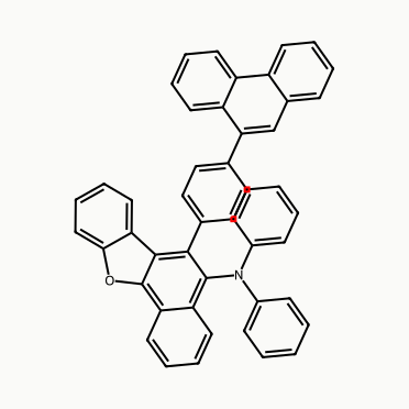 c1ccc(N(c2ccccc2)c2c(-c3ccc(-c4cc5ccccc5c5ccccc45)cc3)c3c4ccccc4oc3c3ccccc23)cc1